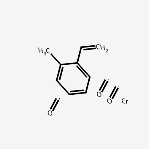 C=Cc1ccccc1C.[C]=O.[C]=O.[C]=O.[Cr]